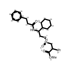 COC(=O)C(C[PH](=O)OCC(NC(=O)CCc1ccccc1)C1CCCCC1)C(C)C